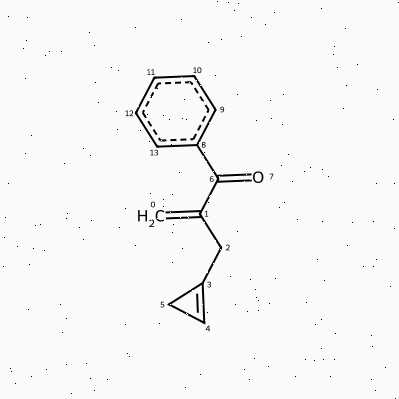 C=C(CC1=CC1)C(=O)c1ccccc1